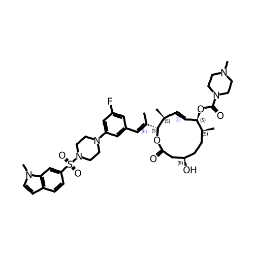 C/C(=C\c1cc(F)cc(N2CCN(S(=O)(=O)c3ccc4ccn(C)c4c3)CC2)c1)[C@H]1OC(=O)C[C@H](O)CC[C@H](C)[C@H](OC(=O)N2CCN(C)CC2)/C=C/[C@@H]1C